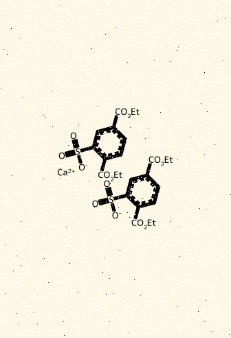 CCOC(=O)c1ccc(C(=O)OCC)c(S(=O)(=O)[O-])c1.CCOC(=O)c1ccc(C(=O)OCC)c(S(=O)(=O)[O-])c1.[Ca+2]